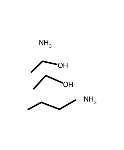 CCCC.CCO.CCO.N.N